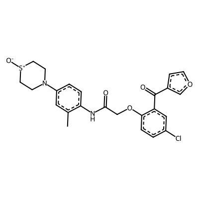 Cc1cc(N2CC[S+]([O-])CC2)ccc1NC(=O)COc1ccc(Cl)cc1C(=O)c1ccoc1